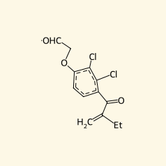 C=C(CC)C(=O)c1ccc(OC[C]=O)c(Cl)c1Cl